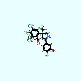 CC(=O)[C@H]1C(c2ccc(F)c(Br)c2)=NC[C@]1(c1cc(Cl)c(Cl)c(Cl)c1)C(F)(F)F